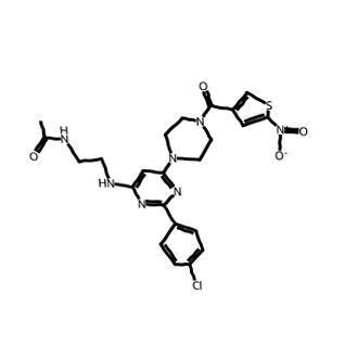 CC(=O)NCCNc1cc(N2CCN(C(=O)c3csc([N+](=O)[O-])c3)CC2)nc(-c2ccc(Cl)cc2)n1